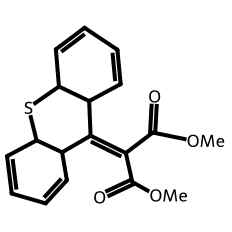 COC(=O)C(C(=O)OC)=C1C2C=CC=CC2SC2C=CC=CC12